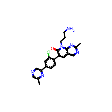 Cc1cncc(-c2ccc(-c3cc4cnc(C)nc4n(CCCN)c3=O)c(Cl)c2)n1